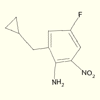 Nc1c(CC2CC2)cc(F)cc1[N+](=O)[O-]